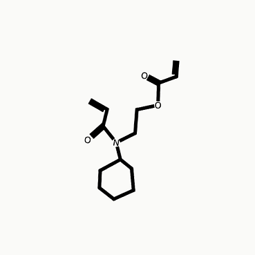 C=CC(=O)OCCN(C(=O)C=C)C1CCCCC1